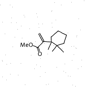 C=C(C(=O)OC)C1(C)CCCCC1(C)C